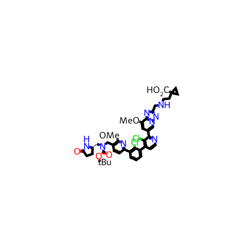 COc1nc(-c2cccc(-c3ccnc(-c4cc(OC)c5nc(CNCCC6(C(=O)O)CC6)nn5c4)c3Cl)c2Cl)ccc1CN(C[C@@H]1CCC(=O)N1)C(=O)OC(C)(C)C